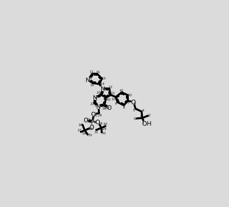 CC(C)(O)CCOc1ccc(-c2cn(-c3cccnc3)c3ncn(COP(=O)(OC(C)(C)C)OC(C)(C)C)c(=O)c23)cc1